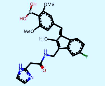 COc1cc(C=C2C(C)=C(CNC(=O)Cc3ncc[nH]3)c3cc(F)ccc32)cc(OC)c1B(O)O